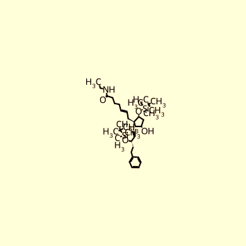 CCNC(=O)CCCC=CC[C@@H]1[C@@H](C=C[C@H](CCc2ccccc2)O[Si](C)(C)C(C)(C)C)[C@H](O)C[C@@H]1O[Si](C)(C)C(C)(C)C